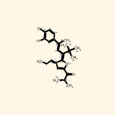 CC\C=c1/cc(C(=O)C(C)C)o/c1=C(/C=C(\C)c1ccc(Cl)c(F)c1)C(C)(C)C